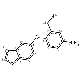 FC(F)(F)c1ccc(Oc2ccc3ccoc3c2)c(CI)c1